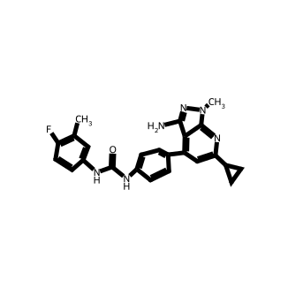 Cc1cc(NC(=O)Nc2ccc(-c3cc(C4CC4)nc4c3c(N)nn4C)cc2)ccc1F